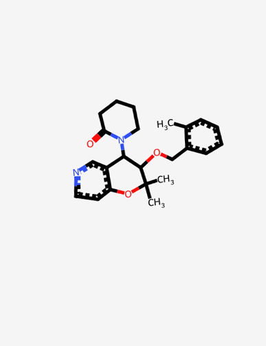 Cc1ccccc1COC1C(N2CCCCC2=O)c2cnccc2OC1(C)C